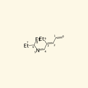 C=C/C=C(/C=N\C(CC)CC)CC